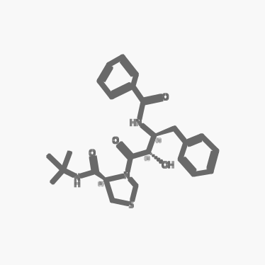 CC(C)(C)NC(=O)[C@@H]1CSCN1C(=O)[C@@H](O)[C@H](Cc1ccccc1)NC(=O)c1ccccc1